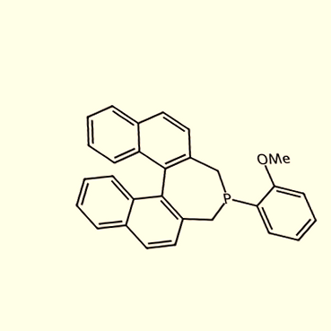 COc1ccccc1P1Cc2ccc3ccccc3c2-c2c(ccc3ccccc23)C1